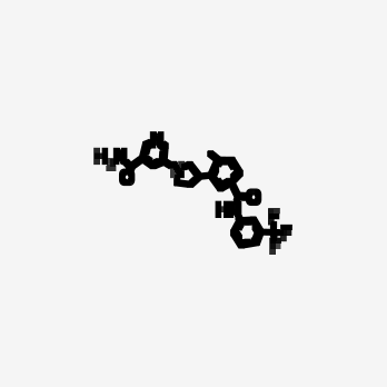 Cc1ccc(C(=O)Nc2cccc(C(F)(F)F)c2)cc1C1CCN(c2cncc(C(N)=O)c2)C1